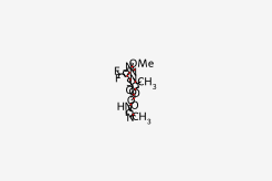 COc1cnc2c(-c3nc4c(C)cc5c(c4s3)OC[C@H](COC(=O)Nc3ccnc(C)c3)O5)cc(C(F)F)cc2n1